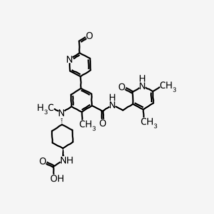 Cc1cc(C)c(CNC(=O)c2cc(-c3ccc(C=O)nc3)cc(N(C)[C@H]3CC[C@H](NC(=O)O)CC3)c2C)c(=O)[nH]1